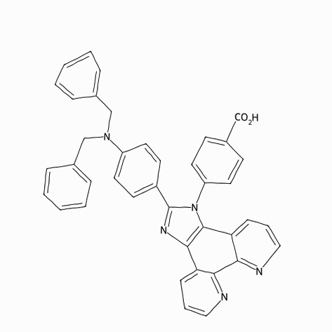 O=C(O)c1ccc(-n2c(-c3ccc(N(Cc4ccccc4)Cc4ccccc4)cc3)nc3c4cccnc4c4ncccc4c32)cc1